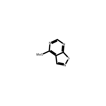 CSc1ncnc2sncc12